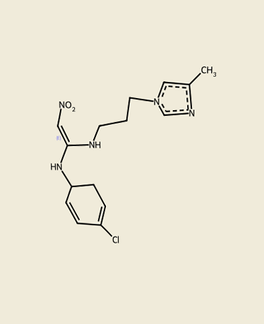 Cc1cn(CCCN/C(=C\[N+](=O)[O-])NC2C=CC(Cl)=CC2)cn1